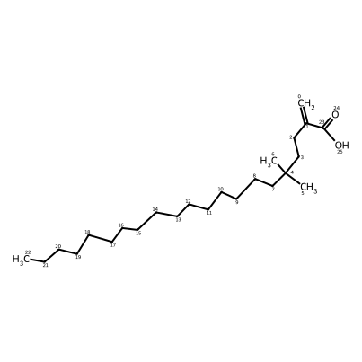 C=C(CCC(C)(C)CCCCCCCCCCCCCCCC)C(=O)O